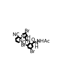 [C-]#[N+]c1cccnc1-n1cc(Br)cc1C(=O)Nc1c(Br)cc(Br)cc1C(=O)NNC(C)=O